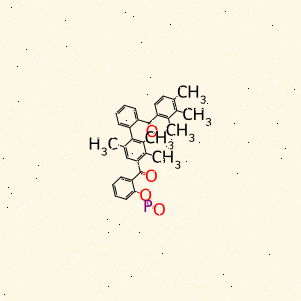 Cc1ccc(C(=O)c2ccccc2-c2c(C)cc(C(=O)c3ccccc3OP=O)c(C)c2C)c(C)c1C